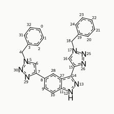 c1ccc(Cn2cc(-c3ccc4[nH]nc(-c5cn(Cc6ccccc6)nn5)c4c3)nn2)cc1